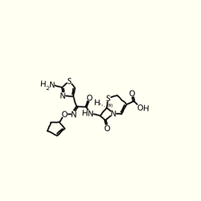 Nc1nc(C(=NOC2C=CCC2)C(=O)NC2C(=O)N3C=C(C(=O)O)CS[C@H]23)cs1